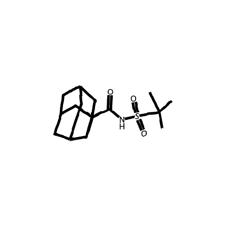 CC(C)(C)S(=O)(=O)NC(=O)C12CC3CC(CC(C3)C1)C2